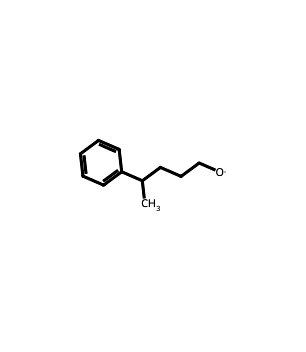 CC(CCC[O])c1ccccc1